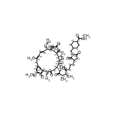 CNC(=O)C1CCC(CN2C(=O)CC(SCCC(=O)C(C)[C@H](C)C(=O)O[C@H]3CC(=O)N(C)c4cc(cc(OC)c4Cl)C/C(C)=C/C=C/[C@@H](OC)[C@@]4(O)C[C@H](OC(=O)N4)[C@@H](C)[C@@H]4O[C@@]34C)C2=O)CC1